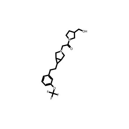 O=C(CN1CC2C(C[CH]c3cccc(OC(F)(F)F)c3)C2C1)N1CCC(CO)C1